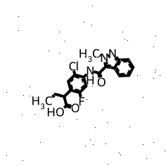 CCC(C(=O)O)c1cc(Cl)c(NC(=O)c2c3ccccc3nn2C)cc1F